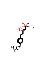 C=Cc1ccc(CC/C(O)=C/C(C)=O)cc1